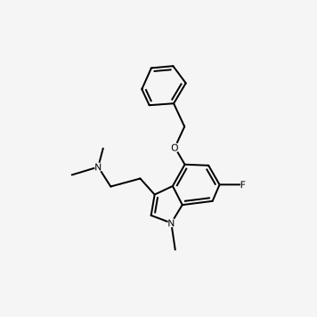 CN(C)CCc1cn(C)c2cc(F)cc(OCc3ccccc3)c12